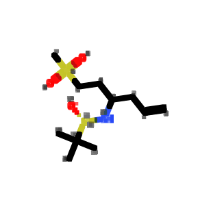 C=CCC(CCS(C)(=O)=O)N[S@@+]([O-])C(C)(C)C